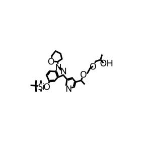 CC(O)COCCOC(C)c1cncc(-c2nn(C3CCCCO3)c3ccc(O[Si](C)(C)C(C)(C)C)cc23)c1